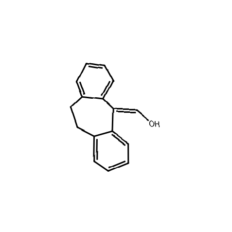 OC=C1c2ccccc2CCc2ccccc21